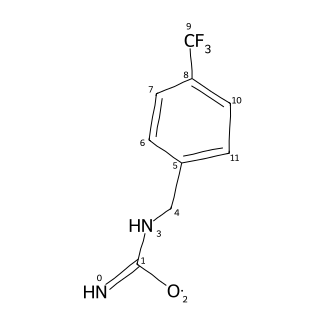 N=C([O])NCc1ccc(C(F)(F)F)cc1